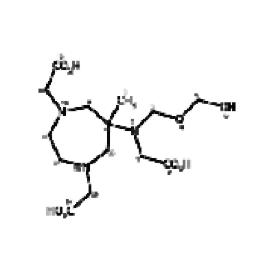 CC1(N(COCO)CC(=O)O)CN(CC(=O)O)CCN(CC(=O)O)C1